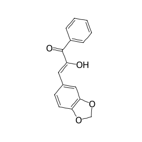 O=C(C(O)=Cc1ccc2c(c1)OCO2)c1ccccc1